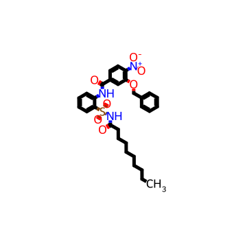 CCCCCCCCCC(=O)NS(=O)(=O)c1ccccc1NC(=O)c1ccc([N+](=O)[O-])c(OCc2ccccc2)c1